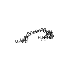 CN[C@@H](C)C(=O)N[C@H](C(=O)N1CCC[C@H]1c1nc(-c2ccc(OCCOCCOCCOCCOCCN(C)C(=O)CCNc3nc(N4CCN(C(N)=O)CC4)c4cc(Cl)c(-c5c(O)cccc5F)c(F)c4n3)c3ccccc23)cs1)C1CCCCC1